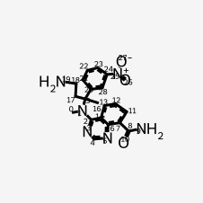 CN(c1ncnc2c(C(N)=O)cccc12)C(C)(CCN)c1cccc([N+](=O)[O-])c1